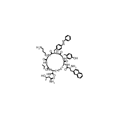 CC(C)[C@@H]1NC(=O)[C@H](CCCCN)NC(=O)[C@@H](Cc2ccc(/N=N/c3ccccc3)cc2)NC(=O)[C@H](Cc2ccc(O)cc2)NC(=O)[C@@H](NC(=O)[C@H](N)Cc2ccc3ccccc3c2)CSSC[C@@H](C(=O)N[C@H](C(N)=O)[C@@H](C)O)NC1=O